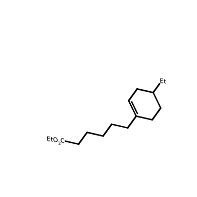 CCOC(=O)CCCCCC1=CCC(CC)CC1